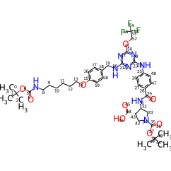 CC(C)(C)OC(=O)NCCCCCCOc1ccc(CNc2nc(Nc3ccc(C(=O)NC4CN(C(=O)OC(C)(C)C)C[C@@H]4C(=O)O)cc3)nc(OCC(F)(F)F)n2)cc1